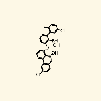 Cc1ccc(Cl)cc1-c1cccc(Oc2cccc(-c3cc(Cl)ccc3C)c2BO)c1BO